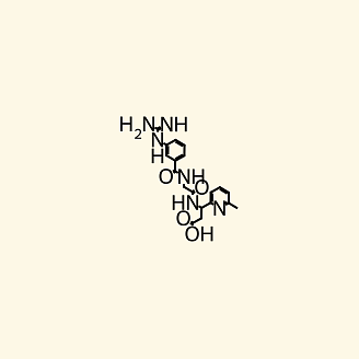 Cc1cccc(C(CC(=O)O)NC(=O)CNC(=O)c2cccc(NC(=N)N)c2)n1